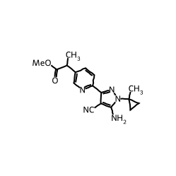 COC(=O)C(C)c1ccc(-c2nn(C3(C)CC3)c(N)c2C#N)nc1